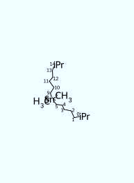 CC(C)CCCC[CH2][Sn]([CH3])([CH3])[CH2]CCCCC(C)C